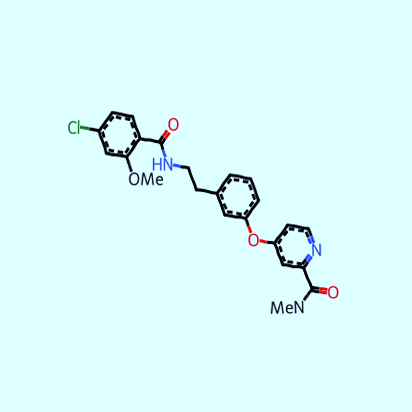 CNC(=O)c1cc(Oc2cccc(CCNC(=O)c3ccc(Cl)cc3OC)c2)ccn1